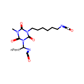 CCCCCC(N=C=O)n1c(=O)n(C)c(=O)n(CCCCCCN=C=O)c1=O